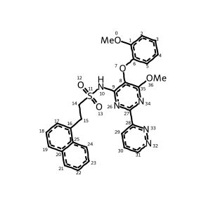 COc1ccccc1Oc1c(NS(=O)(=O)CCc2cccc3ccccc23)nc(-c2cccnn2)nc1OC